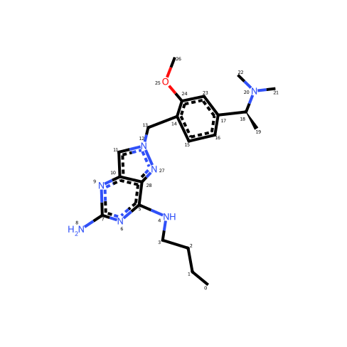 CCCCNc1nc(N)nc2cn(Cc3ccc([C@H](C)N(C)C)cc3OC)nc12